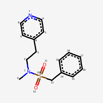 CN(CCc1ccncc1)S(=O)(=O)Cc1ccccc1